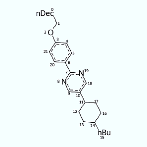 CCCCCCCCCCCOc1ccc(-c2ncc(C3CCC(CCCC)CC3)cn2)cc1